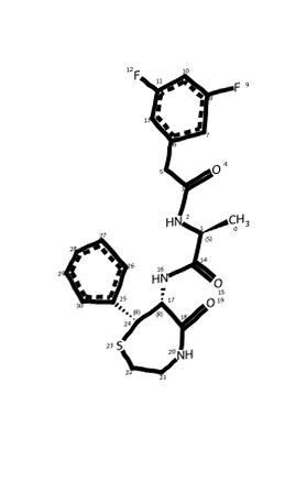 C[C@H](NC(=O)Cc1cc(F)cc(F)c1)C(=O)N[C@@H]1C(=O)NCCS[C@@H]1c1ccccc1